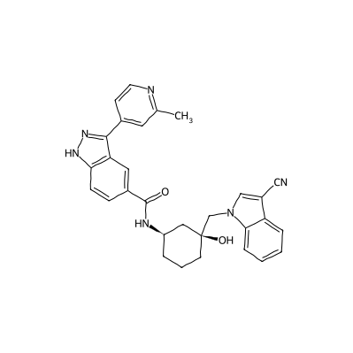 Cc1cc(-c2n[nH]c3ccc(C(=O)N[C@@H]4CCC[C@@](O)(Cn5cc(C#N)c6ccccc65)C4)cc23)ccn1